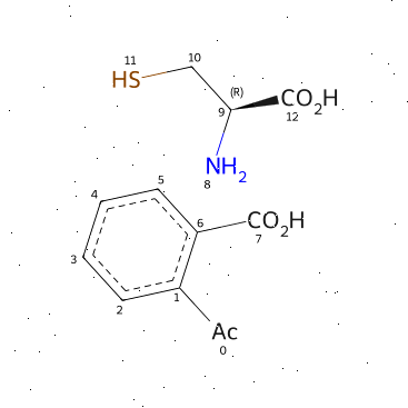 CC(=O)c1ccccc1C(=O)O.N[C@@H](CS)C(=O)O